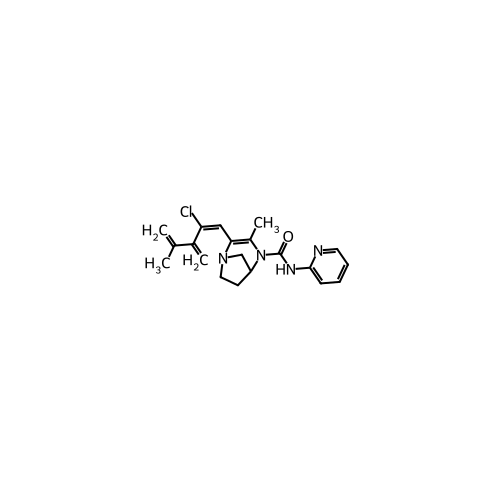 C=C(C)C(=C)/C(Cl)=C\C1=C(C)N(C(=O)Nc2ccccn2)C2CCN1C2